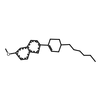 CCCCCCC1CC=C(c2ccc3cc(OC)ccc3c2)CC1